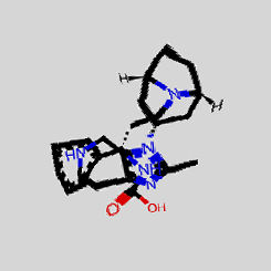 Cc1nc2c(n1[C@H]1C[C@H]3CC[C@@H](C1)N3CC[C@H](NC(=O)O)c1ccccc1)CNCC2